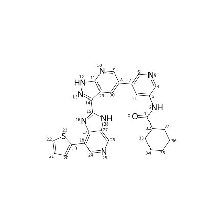 O=C(Nc1cncc(-c2cnc3[nH]nc(-c4nc5c(-c6cccs6)cncc5[nH]4)c3c2)c1)C1CCCCC1